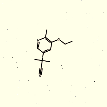 CCSc1cc(C(C)(C)C#N)cnc1C